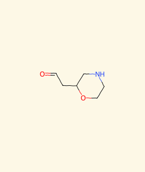 O=CCC1CNCCO1